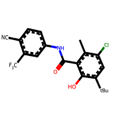 Cc1c(Cl)cc(C(C)(C)C)c(O)c1C(=O)Nc1ccc(C#N)c(C(F)(F)F)c1